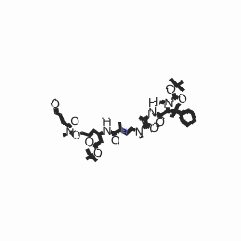 C/C(=C\CN(C)C(=O)C(C)NC(=O)C(N(C)C(=O)OC(C)(C)C)C(C)(C)C1=CCCC=C1)C(=O)NC(CCCON(C)C(=O)CCC=O)CC(=O)OC(C)(C)C